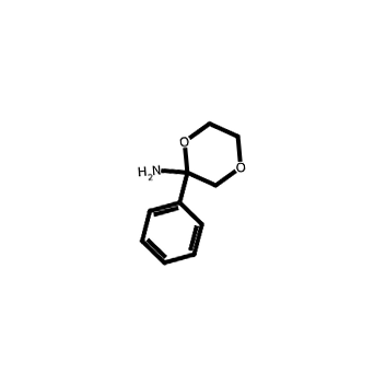 NC1(c2ccccc2)COCCO1